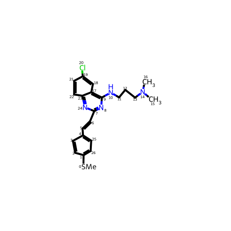 CSc1ccc(C=Cc2nc(NCCCN(C)C)c3cc(Cl)ccc3n2)cc1